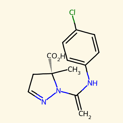 C=C(Nc1ccc(Cl)cc1)N1N=CC[C@]1(C)C(=O)O